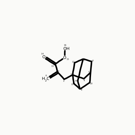 C=C(CC12CC3CC(CC(C3)C1)C2)C(=O)OO